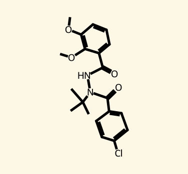 COc1cccc(C(=O)NN(C(=O)c2ccc(Cl)cc2)C(C)(C)C)c1OC